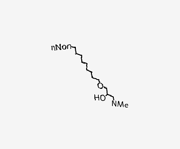 CCCCCCCCCCCCCCCCCCOCC(O)CNC